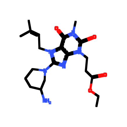 CCOC(=O)CCn1c(=O)n(C)c(=O)c2c1nc(N1CCCC(N)C1)n2CC=C(C)C